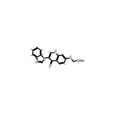 COCOc1ccc2c(=O)c(-n3cnc4ccccc43)coc2c1